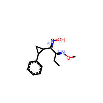 CCC(=N\OC)/C(=N\O)C1CC1c1ccccc1